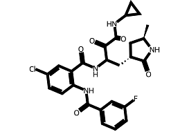 C[C@@H]1C[C@@H](CC(NC(=O)c2cc(Cl)ccc2NC(=O)c2cccc(F)c2)C(=O)C(=O)NC2CC2)C(=O)N1